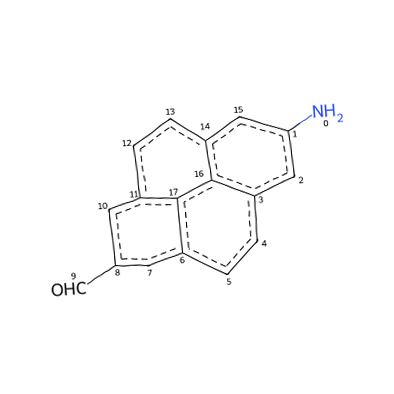 Nc1cc2ccc3cc(C=O)cc4ccc(c1)c2c34